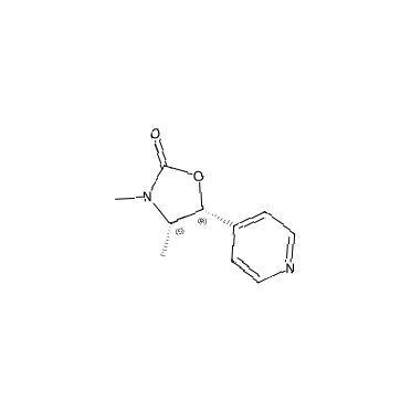 C[C@H]1[C@@H](c2ccncc2)OC(=O)N1C